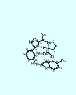 COC(=O)C1(I)CCCN1C(=S)c1cc(-c2cccc(Nc3nc4ccc(F)cc4s3)c2)no1